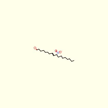 CCCCCCCCC(/C=C/CCCCCC[C]=O)[N+](=O)[O-]